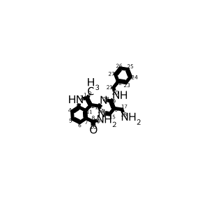 Cc1[nH]c2cccc(C(N)=O)c2c1-c1ncc(CN)c(NCc2ccccc2)n1